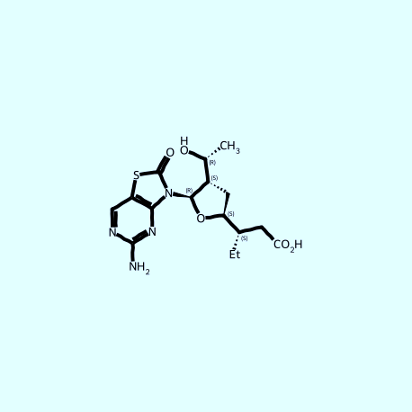 CC[C@@H](CC(=O)O)[C@@H]1C[C@@H]([C@@H](C)O)[C@H](n2c(=O)sc3cnc(N)nc32)O1